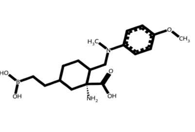 COc1ccc(N(C)CC2CCC(CCB(O)O)C[C@]2(N)C(=O)O)cc1